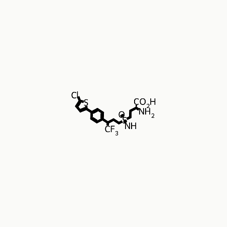 N=S(=O)(CCC(c1ccc(-c2ccc(Cl)s2)cc1)C(F)(F)F)CC[C@H](N)C(=O)O